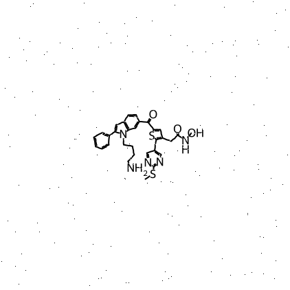 CSc1ncc(-c2sc(C(=O)c3ccc4cc(-c5ccccc5)n(CCCCN)c4c3)cc2CC(=O)NO)cn1